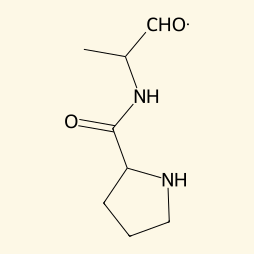 CC([C]=O)NC(=O)C1CCCN1